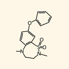 CN1CCN(C)S(=O)(=O)c2cc(Oc3ccccc3)ccc21